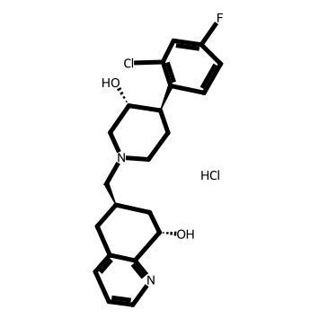 Cl.O[C@H]1C[C@H](CN2CC[C@H](c3ccc(F)cc3Cl)[C@@H](O)C2)Cc2cccnc21